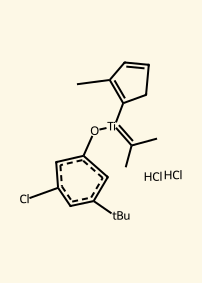 CC1=[C]([Ti]([O]c2cc(Cl)cc(C(C)(C)C)c2)=[C](C)C)CC=C1.Cl.Cl